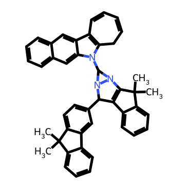 CC1(C)C2=C(c3ccccc31)C(c1ccc3c(c1)-c1ccccc1C3(C)C)N1C(n3c4c(c5cc6ccccc6cc53)C=CC=CC4)N21